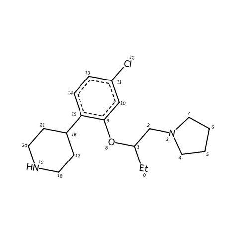 CCC(CN1CCCC1)Oc1cc(Cl)ccc1C1CCNCC1